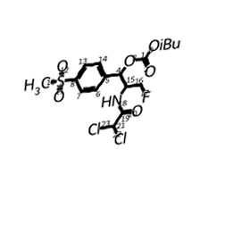 CC(C)COC(=O)OC(c1ccc(S(C)(=O)=O)cc1)C(CF)NC(=O)C(Cl)Cl